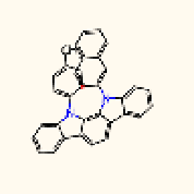 Cc1ccc(-n2c3ccccc3c3ccc4c5ccccc5n(-c5ccc6ccccc6c5)c4c32)cc1